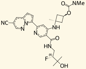 CNC(=O)O[C@H]1C[C@@](C)(Nc2cc(-c3ccc4cc(C#N)cnn34)ncc2C(=O)NC[C@@H](F)C(C)(C)O)C1